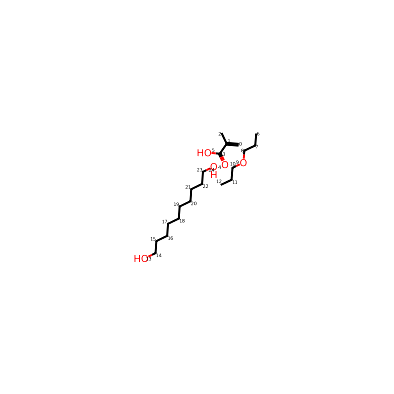 C=C(C)C(=O)O.CCCOCCC.OCCCCCCCCCCO